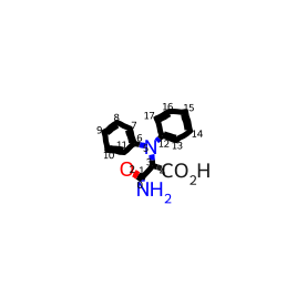 NC(=O)C(C(=O)O)N(c1ccccc1)c1ccccc1